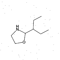 CCC(CC)C1NCCO1